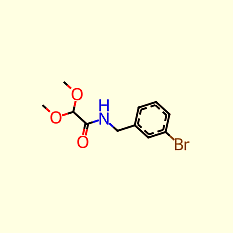 COC(OC)C(=O)NCc1cccc(Br)c1